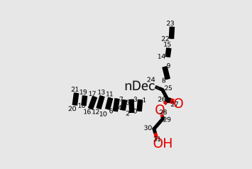 C=C.C=C.C=C.C=C.C=C.C=C.C=C.C=C.C=C.C=C.C=C.C=C.CCCCCCCCCCCC(=O)OCCO